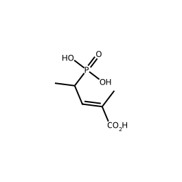 CC(=CC(C)P(=O)(O)O)C(=O)O